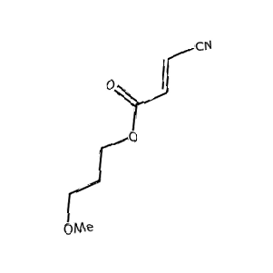 COCCCOC(=O)C=CC#N